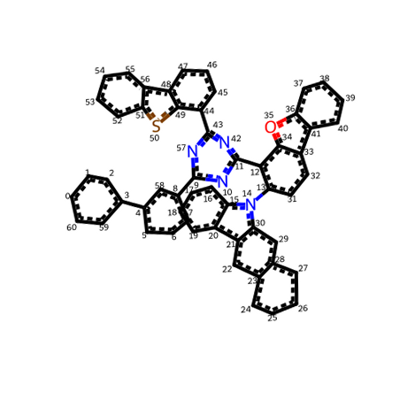 c1ccc(-c2cccc(-c3nc(-c4c(-n5c6ccccc6c6cc7ccccc7cc65)ccc5c4oc4ccccc45)nc(-c4cccc5c4sc4ccccc45)n3)c2)cc1